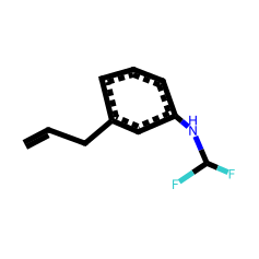 C=CCc1cccc(NC(F)F)c1